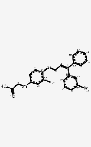 O=C(O)COc1ccc(SC/C=C(/c2ccccc2)c2cccc(Br)c2)c(I)c1